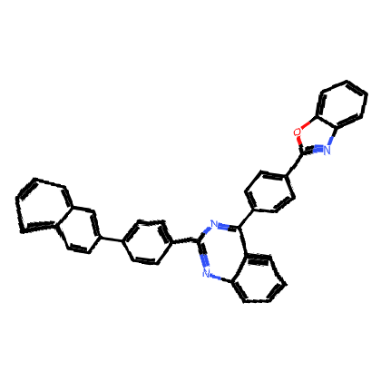 c1ccc2cc(-c3ccc(-c4nc(-c5ccc(-c6nc7ccccc7o6)cc5)c5ccccc5n4)cc3)ccc2c1